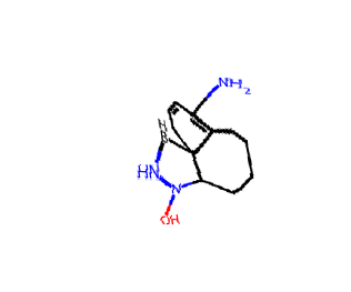 NC1=C2CCCC3N(O)NBC23CC=C1